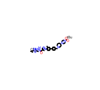 Cc1cc(-c2ccc(CN3CCCC(N4CCN(C(=O)OC(C)(C)C)CC4)CC3)cc2)ccc1-n1cc(C(=O)NCc2nc(C(C)(C)C(F)(F)F)n[nH]2)cn1